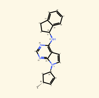 [CH2][C@H]1C=C[C@H](n2ccc3c(N[C@H]4CCc5ccccc54)ncnc32)C1